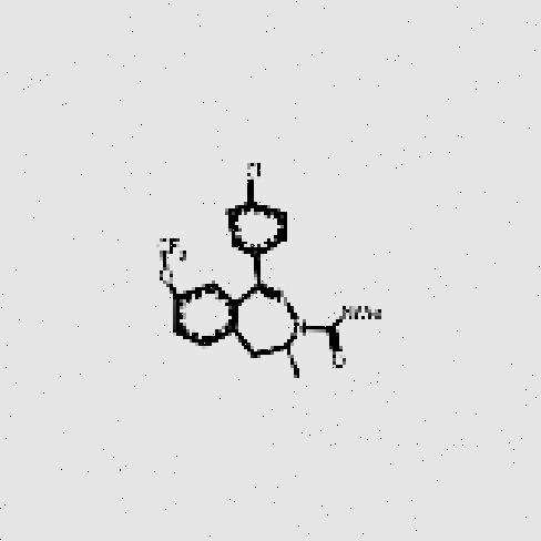 CNC(=O)N1N=C(c2ccc(Cl)cc2)c2cc(OC(F)(F)F)ccc2C[C@@H]1C